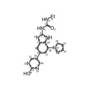 CCNC(=O)Nc1nc2cc(-c3cnc(O)nc3)cc(-n3cccn3)c2[nH]1